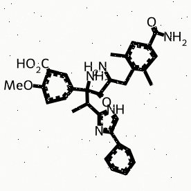 COc1ccc(C(N)(C(=O)C(N)Cc2c(C)cc(C(N)=O)cc2C)C(C)c2nc(-c3ccccc3)c[nH]2)cc1C(=O)O